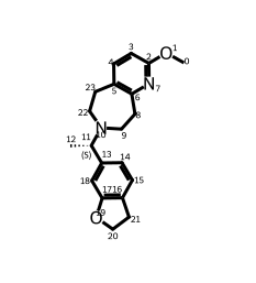 COc1ccc2c(n1)CCN([C@@H](C)c1ccc3c(c1)OCC3)CC2